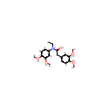 CCN(C(=O)Cc1ccc(OC)c(OC)c1)c1ccc(OC)c(OC)c1